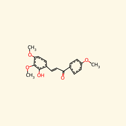 COc1ccc(C(=O)C=Cc2ccc(OC)c(OC)c2O)cc1